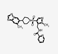 Cc1cc2ncnn2cc1C1CCN(S(=O)(=O)c2cnn(C)c2CNC(=O)c2ccccn2)CC1